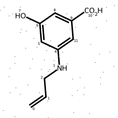 C=CCNc1cc(O)cc(C(=O)O)c1